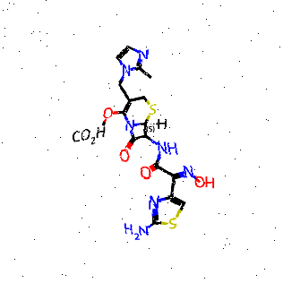 Cc1nccn1CC1=C(OC(=O)O)N2C(=O)C(NC(=O)C(=NO)c3csc(N)n3)[C@@H]2SC1